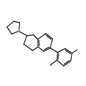 Cc1ccc(C)c(-c2ccc3c(c2)CCC(N2CCCC2)C3)c1